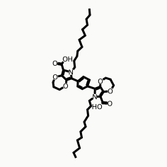 CCCCCCCCCCCCn1c(C(=O)O)c2c(c1-c1ccc(-c3c4c(c(C(=O)O)n3CCCCCCCCCCCC)OCCCO4)cc1)OCCCO2